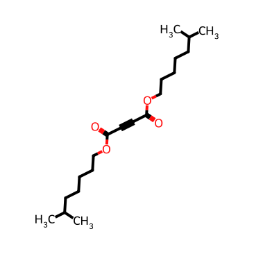 CC(C)CCCCCOC(=O)C#CC(=O)OCCCCCC(C)C